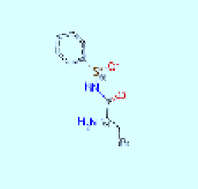 CC(C)C[C@H](N)C(=O)N[S@@+]([O-])c1ccccc1